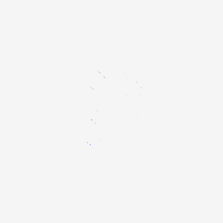 Cc1ccccc1C(CC(=O)N1CCNC(=O)C1)c1ccccc1C